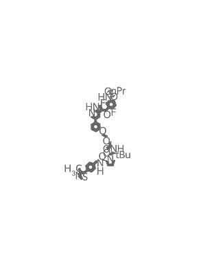 CCCS(=O)(=O)Nc1ccc(F)c(C(=O)c2c[nH]c3ncc(-c4cccc(OCCOCC(=O)N[C@H](C(=O)N5CCC[C@H]5C(=O)NCc5ccc(-c6scnc6C)cc5)C(C)(C)C)c4)cc23)c1F